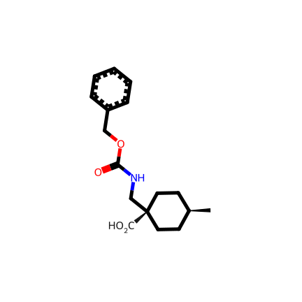 C[C@H]1CC[C@@](CNC(=O)OCc2ccccc2)(C(=O)O)CC1